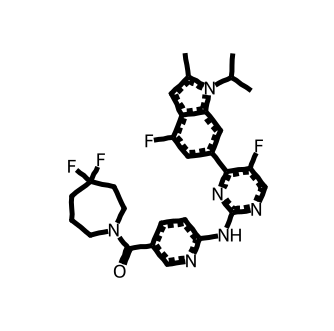 Cc1cc2c(F)cc(-c3nc(Nc4ccc(C(=O)N5CCCC(F)(F)CC5)cn4)ncc3F)cc2n1C(C)C